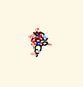 CC[C@]1(O)C[C@@H]2CN(CCc3c([nH]c4ccc(Br)cc34)[C@@](C(=O)OC)(c3cc([C@]4(C)CCN5CC=C[C@@](CC)([C@@H](OC(C)=O)C(C)(O)C(=O)OC)C54)c(N(C)C)cc3OC)C2)C1